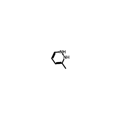 CC1=CC=CNN1